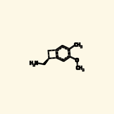 COc1cc2c(cc1C)C[C@@H]2CN